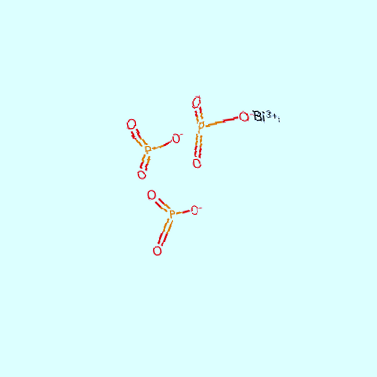 O=P(=O)[O-].O=P(=O)[O-].O=P(=O)[O-].[Bi+3]